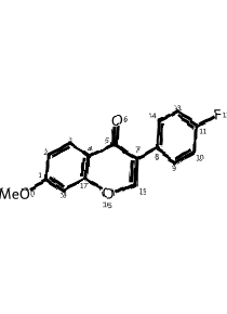 COc1ccc2c(=O)c(-c3ccc(F)cc3)coc2c1